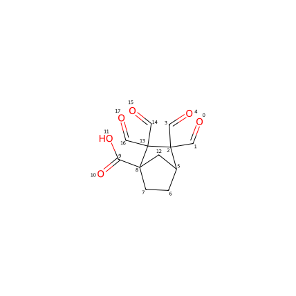 O=CC1(C=O)C2CCC(C(=O)O)(C2)C1(C=O)C=O